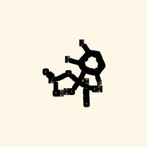 O=[PH](O)OC(O)(c1c(F)ccc(F)c1F)[PH](=O)O